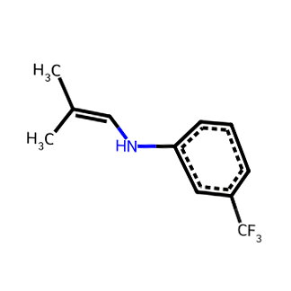 CC(C)=CNc1cccc(C(F)(F)F)c1